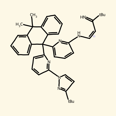 CC(C)(C)C(=N)/C=C\Nc1cccc(C2(c3cccc(-n4ccc(C(C)(C)C)n4)n3)c3ccccc3C(C)(C)c3ccccc32)n1